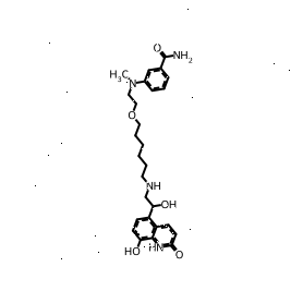 CN(CCOCCCCCCNCC(O)c1ccc(O)c2[nH]c(=O)ccc12)c1cccc(C(N)=O)c1